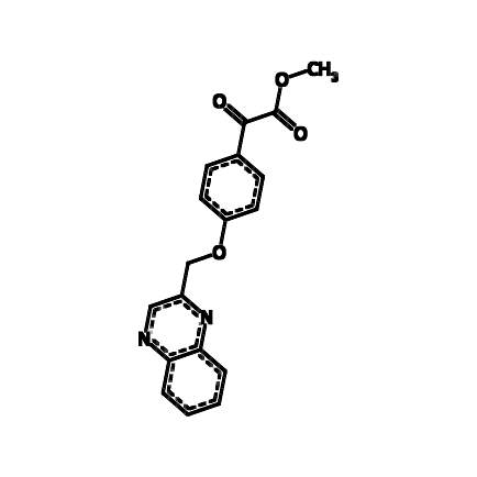 COC(=O)C(=O)c1ccc(OCc2cnc3ccccc3n2)cc1